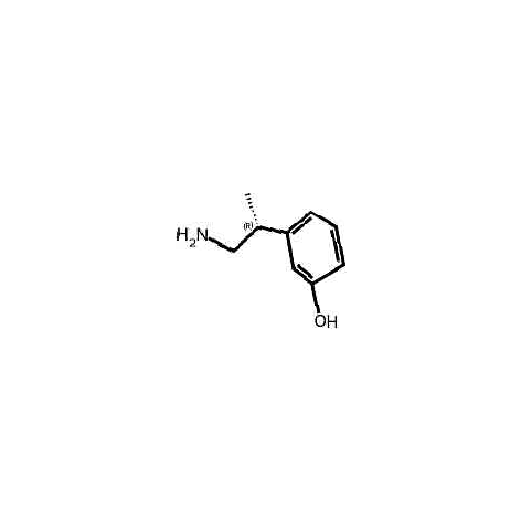 C[C@@H](CN)c1cccc(O)c1